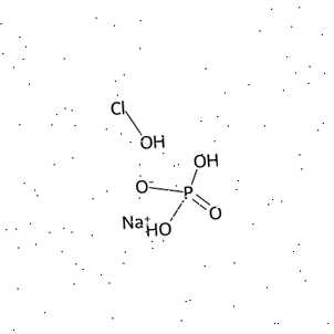 O=P([O-])(O)O.OCl.[Na+]